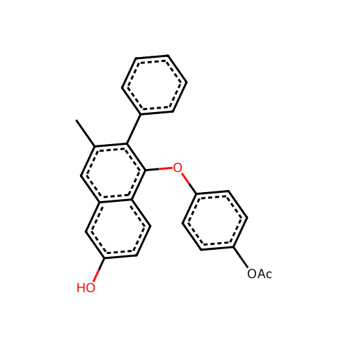 CC(=O)Oc1ccc(Oc2c(-c3ccccc3)c(C)cc3cc(O)ccc23)cc1